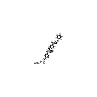 CCCCCCCCCCCC(=O)OCc1ccc(C(=O)NS(=O)(=O)c2ccc(C(=O)NCCc3ccc(F)cc3)cc2)cn1